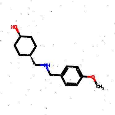 COc1ccc(CNC[C@H]2CC[C@H](O)CC2)cc1